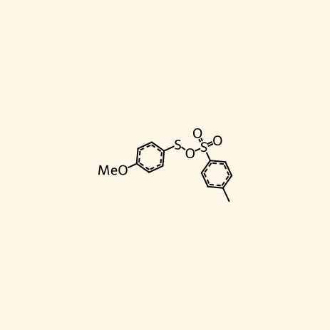 COc1ccc(SOS(=O)(=O)c2ccc(C)cc2)cc1